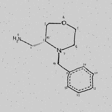 NC[C@@H]1COCCN1Cc1ccccc1